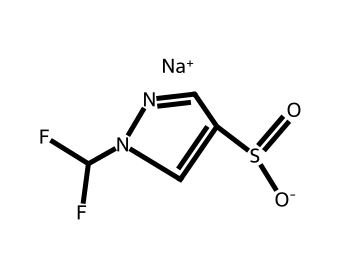 O=S([O-])c1cnn(C(F)F)c1.[Na+]